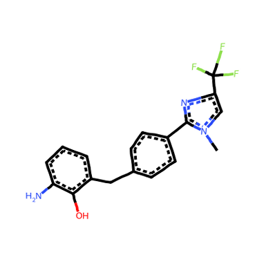 Cn1cc(C(F)(F)F)nc1-c1ccc(Cc2cccc(N)c2O)cc1